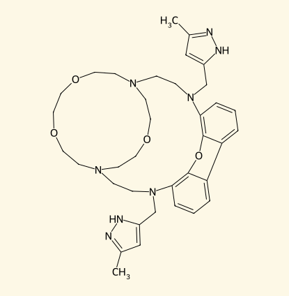 Cc1cc(CN2CCN3CCOCCOCCN(CCOCC3)CCN(Cc3cc(C)n[nH]3)c3cccc4c3oc3c2cccc34)[nH]n1